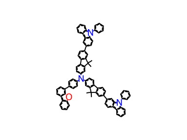 CC1(C)c2cc(-c3ccc4c(c3)c3ccccc3n4-c3ccccc3)ccc2-c2ccc(N(c3ccc(-c4cccc5c4oc4ccccc45)cc3)c3ccc4c(c3)C(C)(C)c3cc(-c5ccc6c7ccccc7n(-c7ccccc7)c6c5)ccc3-4)cc21